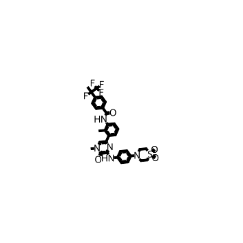 Cc1c(NC(=O)c2ccc(C(C)(F)C(F)(F)F)cc2)cccc1-c1cn(C)c(=O)c(Nc2ccc(N3CCS(=O)(=O)CC3)cc2)n1